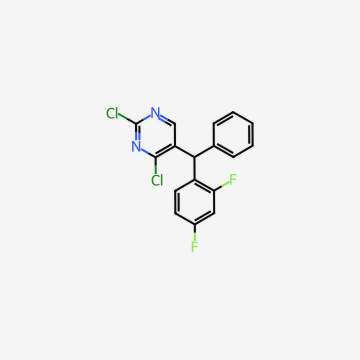 Fc1ccc(C(c2ccccc2)c2cnc(Cl)nc2Cl)c(F)c1